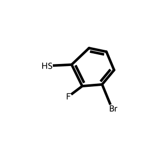 Fc1c(S)cccc1Br